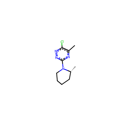 Cc1nc(N2CCCC[C@H]2C)nnc1Cl